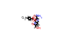 C[C@@H](O)C1C(=O)N2C(C(=O)OC(=O)c3ccc([N+](=O)[O-])cc3)=C(CN3CC(C(N)=O)C3)[C@H](C)[C@H]12